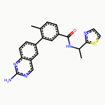 Cc1ccc(C(=O)NC(C)c2nccs2)cc1-c1ccc2nc(N)ncc2c1